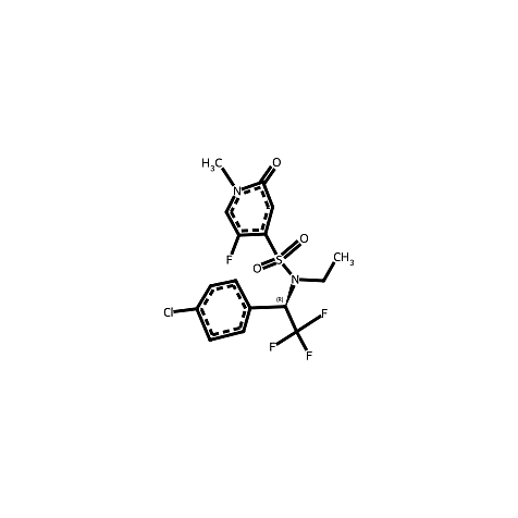 CCN([C@H](c1ccc(Cl)cc1)C(F)(F)F)S(=O)(=O)c1cc(=O)n(C)cc1F